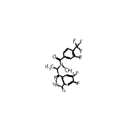 CC(c1n[nH]c(=O)c2cc(F)c(F)cc12)N(C)C(=O)c1ccc(C(F)(F)F)c(F)c1